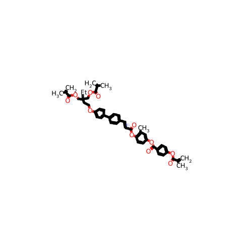 C=C(C)C(=O)OCC(CC)(CCOc1ccc(-c2ccc(/C=C/C(=O)Oc3ccc(OC(=O)c4ccc(OC(=O)C(=C)C)cc4)cc3C)cc2)cc1)COC(=O)C(=C)C